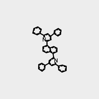 c1ccc(-c2cc(-c3ccccc3)nc(-c3cccc4c(-c5cc(-c6ccccc6)cc(-c6ccccc6)n5)cccc34)c2)cc1